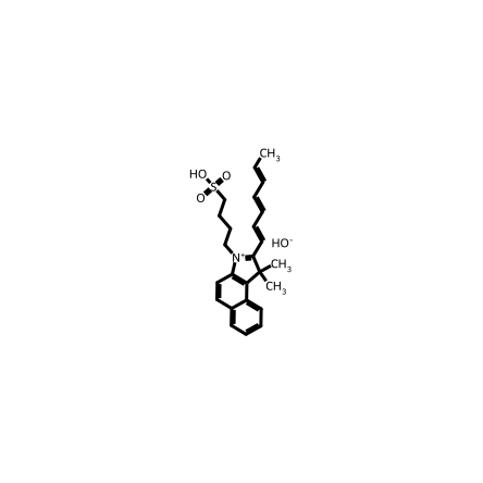 CC=CC=CC=CC1=[N+](CCCCS(=O)(=O)O)c2ccc3ccccc3c2C1(C)C.[OH-]